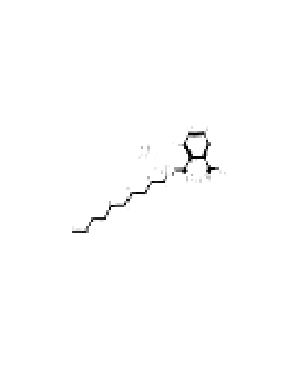 CCCCCCCCCCNC(=O)c1ccccc1C(=O)[O-].[Na+]